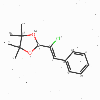 CC1(C)OB(C(Cl)=Cc2ccccc2)OC1(C)C